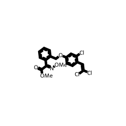 CO/N=C(/C(=O)OC)c1ccccc1COc1ccc(C=C(Cl)Cl)c(Cl)c1